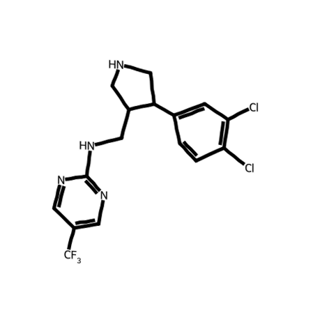 FC(F)(F)c1cnc(NCC2CNCC2c2ccc(Cl)c(Cl)c2)nc1